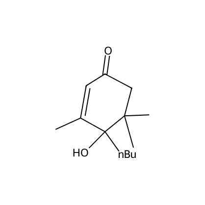 CCCCC1(O)C(C)=CC(=O)CC1(C)C